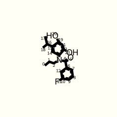 CCCN(C(=O)c1cccc(F)c1)c1cc(C(C)C)c(O)cc1O